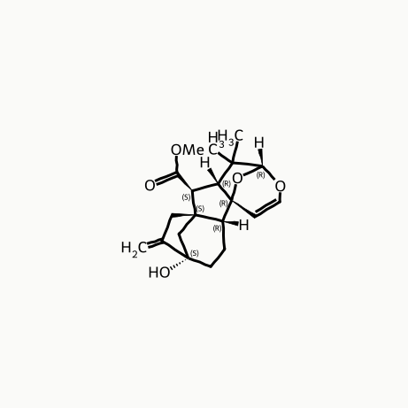 C=C1C[C@]23C[C@@]1(O)CC[C@H]2[C@@]12C=CO[C@H](O1)C(C)(C)[C@H]2[C@@H]3C(=O)OC